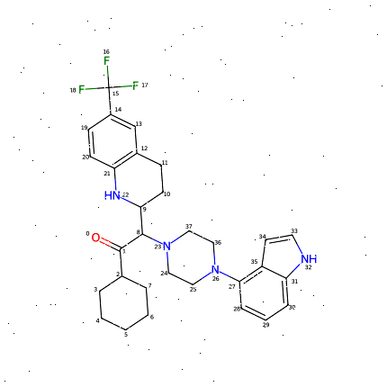 O=C(C1CCCCC1)C(C1CCc2cc(C(F)(F)F)ccc2N1)N1CCN(c2cccc3[nH]ccc23)CC1